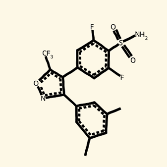 Cc1cc(C)cc(-c2noc(C(F)(F)F)c2-c2cc(F)c(S(N)(=O)=O)c(F)c2)c1